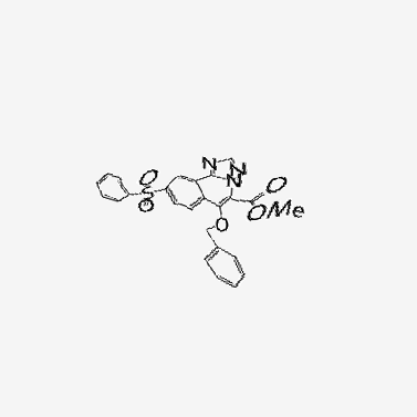 COC(=O)c1c(OCc2ccccc2)c2ccc(S(=O)(=O)c3ccccc3)cc2c2ncnn12